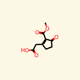 COC(=O)C1=C(CC(=O)O)CCC1=O